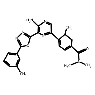 Cc1cccc(-c2nnc(-c3nc(C4=CC=C(C(=O)N(C)C)CC4C)cnc3N)o2)c1